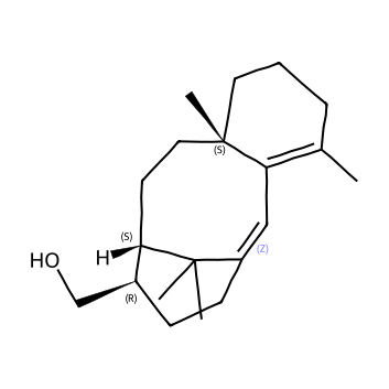 CC1=C2/C=C3/CC[C@@H](CO)[C@H](CC[C@]2(C)CCC1)C3(C)C